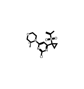 C=C(C)S(=O)(=O)C1(c2cc(N3CCOC[C@@H]3C)nc(Cl)n2)CC1